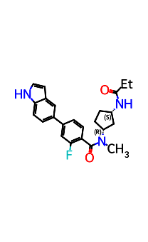 CCC(=O)N[C@H]1CC[C@@H](N(C)C(=O)c2ccc(-c3ccc4[nH]ccc4c3)cc2F)C1